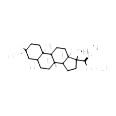 CCC[C@@]1(O)CC[C@H]2[C@@H](CC[C@@H]3[C@@H]2CC[C@@]2(C)[C@H]3CCC2(O)C(=[N+]=[N-])C(=O)OCC)C1